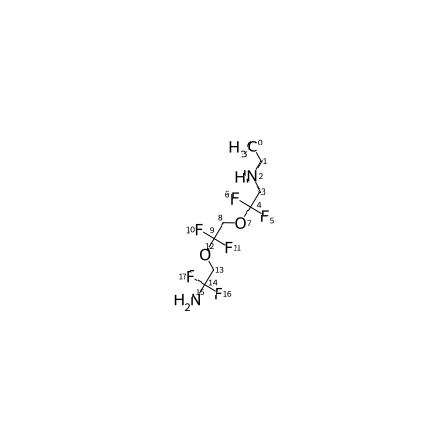 CCNCC(F)(F)OCC(F)(F)OCC(N)(F)F